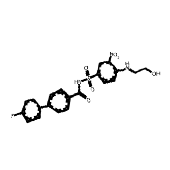 O=C(NS(=O)(=O)c1ccc(NCCO)c([N+](=O)[O-])c1)c1ccc(-c2ccc(F)cc2)cc1